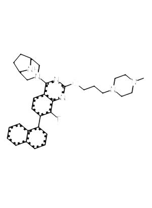 CN1CCN(CCCOc2nc(N3CC4CCC(C3)N4)c3ccc(-c4cccc5ccccc45)c(F)c3n2)CC1